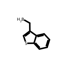 BCc1csc2ccccc12